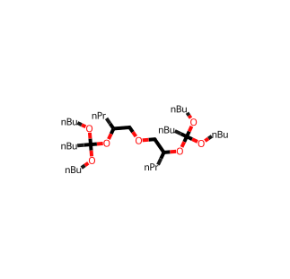 CCCCOC(CCCC)(OCCCC)OC(CCC)COCC(CCC)OC(CCCC)(OCCCC)OCCCC